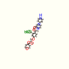 Cl.Cl.O=C(COc1ccc(C(=O)CN2CCN(C3CCNCC3)CC2=O)cc1)OC1CCOCC1